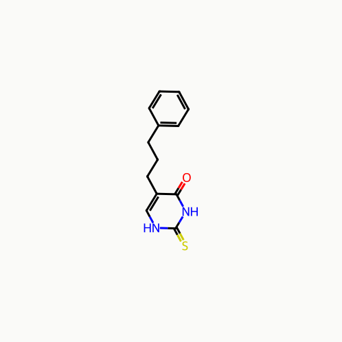 O=c1[nH]c(=S)[nH]cc1CCCc1ccccc1